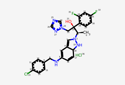 C[C@@H](N1C=C2C=C(NCc3ccc(Cl)cc3)C=CC2N1)[C@](O)(Cn1cncn1)c1ccc(F)cc1F.Cl